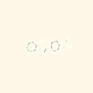 Cc1ccc(NC(=O)c2ccc([N+](=O)[O-])cc2C)cn1